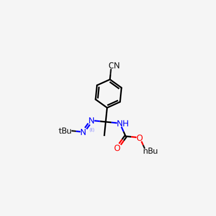 CCCCOC(=O)NC(C)(/N=N/C(C)(C)C)c1ccc(C#N)cc1